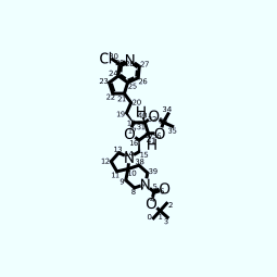 CC(C)(C)OC(=O)N1CCC2(CCCN2C[C@H]2O[C@@H](CCC3C=Cc4c3ccnc4Cl)[C@@H]3OC(C)(C)O[C@@H]32)CC1